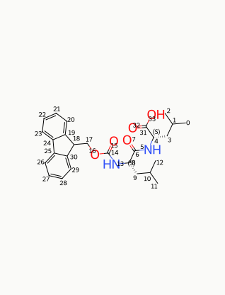 CC(C)C[C@H](NC(=O)[C@H](CC(C)C)NC(=O)OCC1c2ccccc2-c2ccccc21)C(=O)O